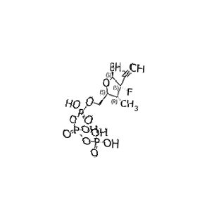 B[C@@H]1O[C@H](COP(=O)(O)OP(=O)(O)OP(=O)(O)O)[C@@H](C)[C@]1(F)C#C